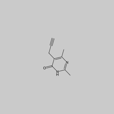 C#CCc1c(C)nc(C)[nH]c1=O